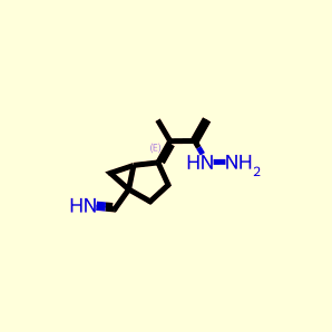 C=C(NN)/C(C)=C1\CCC2(C=N)CC12